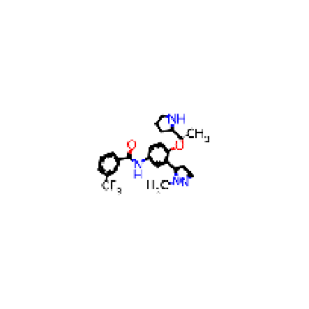 C[C@H](Oc1ccc(NC(=O)c2cccc(C(F)(F)F)c2)cc1-c1ccnn1C)C1CCCN1